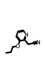 CCCOc1cccnc1CC#N